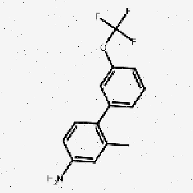 Cc1cc(N)ccc1-c1cccc(OC(F)(F)F)c1